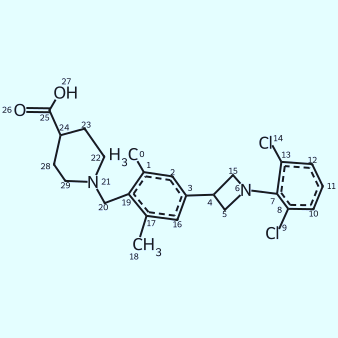 Cc1cc(C2CN(c3c(Cl)cccc3Cl)C2)cc(C)c1CN1CCC(C(=O)O)CC1